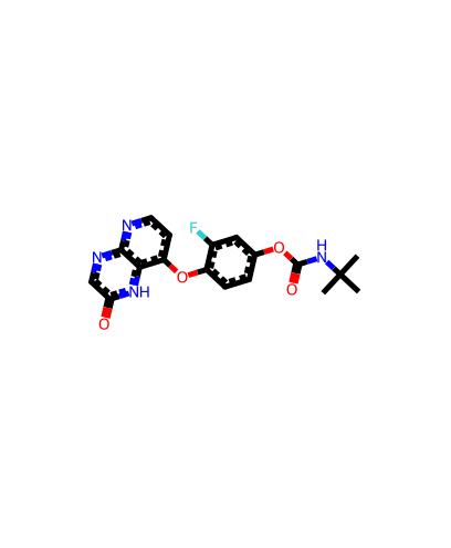 CC(C)(C)NC(=O)Oc1ccc(Oc2ccnc3ncc(=O)[nH]c23)c(F)c1